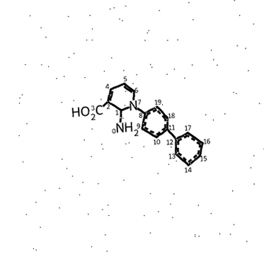 NC1C(C(=O)O)=CC=CN1c1ccc(-c2ccccc2)cc1